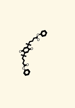 CC(C)(CCCC(=O)Oc1ccccc1)C1=CC(=O)C(C(C)(C)CCCC(=O)Oc2ccccc2)=CC1=O